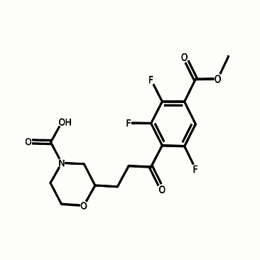 COC(=O)c1cc(F)c(C(=O)CCC2CN(C(=O)O)CCO2)c(F)c1F